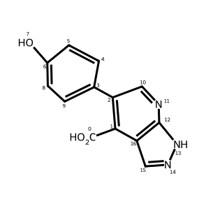 O=C(O)c1c(-c2ccc(O)cc2)cnc2[nH]ncc12